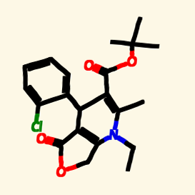 CCN1C(C)=C(C(=O)OC(C)(C)C)C(c2ccccc2Cl)C2=C1COC2=O